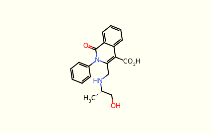 C[C@@H](CO)NCc1c(C(=O)O)c2ccccc2c(=O)n1-c1ccccc1